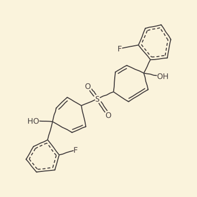 O=S(=O)(C1C=CC(O)(c2ccccc2F)C=C1)C1C=CC(O)(c2ccccc2F)C=C1